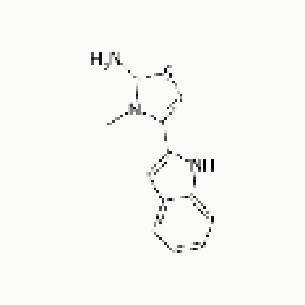 CN1C(c2cc3ccccc3[nH]2)=CSC1N